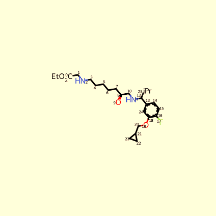 CCOC(=O)CNCCCCCC(=O)CNC(c1ccc(F)c(OCC2CC2)c1)C(C)C